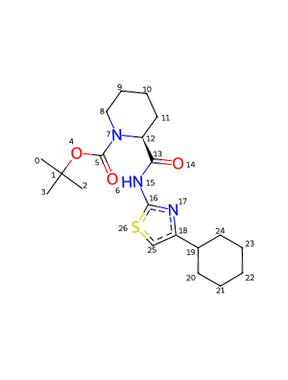 CC(C)(C)OC(=O)N1CCCC[C@H]1C(=O)Nc1nc(C2CCCCC2)cs1